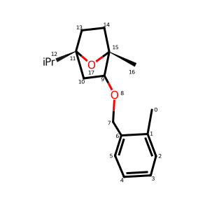 Cc1ccccc1COC1C[C@]2(C(C)C)CC[C@@]1(C)O2